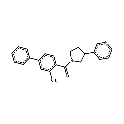 Cc1cc(-c2ccccc2)ccc1C(=O)N1CCC(c2cccnc2)C1